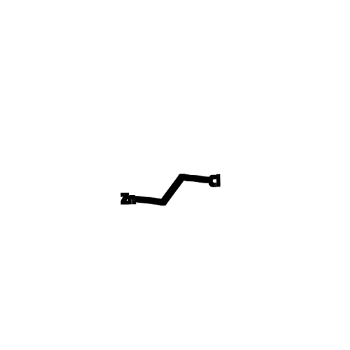 ClC[CH2][Zn]